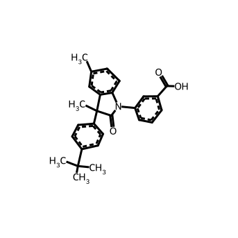 Cc1ccc2c(c1)C(C)(c1ccc(C(C)(C)C)cc1)C(=O)N2c1cccc(C(=O)O)c1